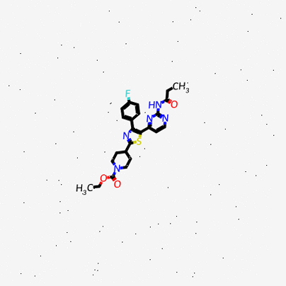 CCOC(=O)N1CCC(c2nc(-c3ccc(F)cc3)c(-c3ccnc(NC(=O)CC)n3)s2)CC1